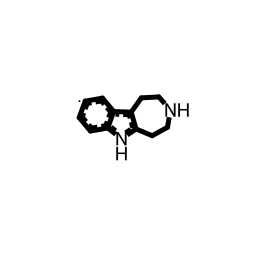 [c]1ccc2[nH]c3c(c2c1)CCNCC3